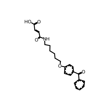 O=C(O)C=CC(=O)NCCCCCCOc1ccc(C(=O)c2ccccc2)cc1